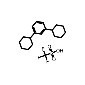 O=S(=O)(O)C(F)(F)F.c1cc(C2CCCCC2)cc(C2CCCCC2)c1